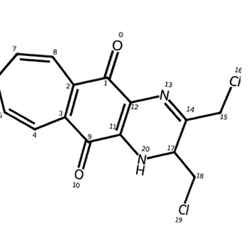 O=C1C2=C(C=CCC=C2)C(=O)C2=C1N=C(CCl)C(CCl)N2